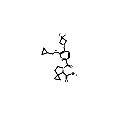 NC(=O)C1N(C(=O)c2ccc(N3CC(F)(F)C3)c(OCC3CC3)n2)CCC12CC2